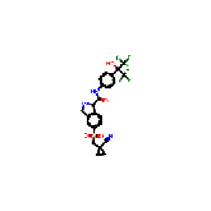 N#CC1(CS(=O)(=O)c2ccc3c(c2)CNC3C(=O)Nc2ccc(C(O)(C(F)(F)F)C(F)(F)F)cc2)CC1